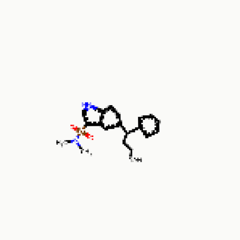 CNCCC(c1ccccc1)c1ccc2[nH]cc(S(=O)(=O)N(C)C)c2c1